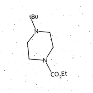 CCOC(=O)N1CCN(C(C)(C)C)CC1